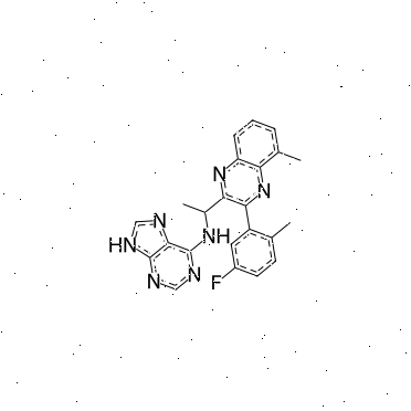 Cc1ccc(F)cc1-c1nc2c(C)cccc2nc1C(C)Nc1ncnc2[nH]cnc12